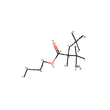 BC(C)(C)C(C)(CC(C)(C)C)C(=O)OCCCC